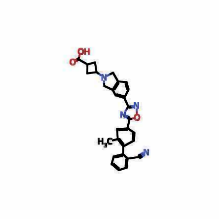 Cc1cc(-c2nc(-c3ccc4c(c3)CN(C3CC(C(=O)O)C3)C4)no2)ccc1-c1ccccc1C#N